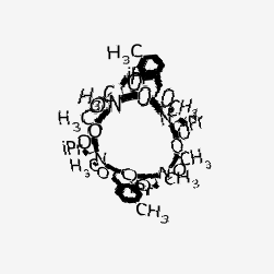 Cc1ccc(C[C@@H]2OC(=O)[C@@H](CC(C)C)N(C)C(=O)[C@H](C)OC(=O)[C@@H](CC(C)C)N(C)C(=O)[C@H](Cc3ccc(C)cc3)OC(=O)[C@@H](CC(C)C)N(C)C(=O)[C@H](C)OC(=O)[C@@H](CC(C)C)N(C)C2=O)cc1